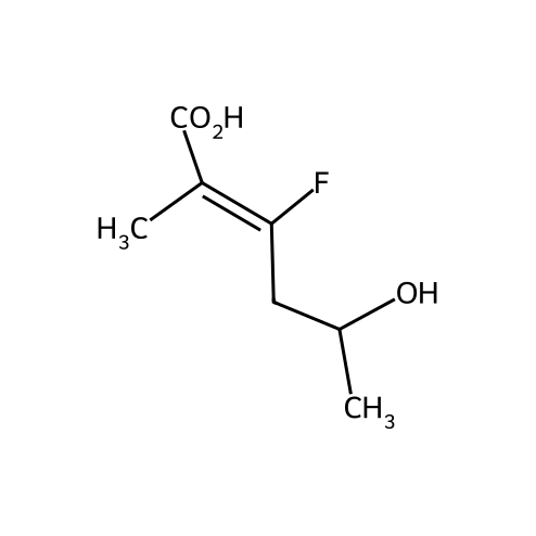 CC(C(=O)O)=C(F)CC(C)O